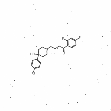 O=C(CCCN1CCC(O)(c2ccc(Cl)cc2)CC1)c1ccc(F)cc1F